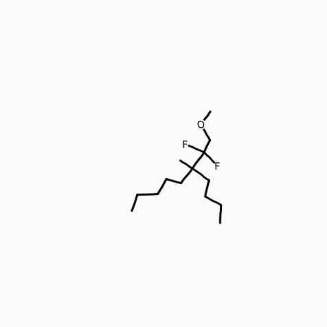 CCCCCC(C)(CCCC)C(F)(F)COC